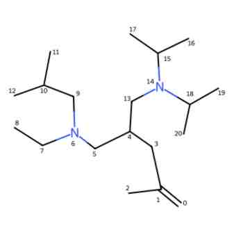 C=C(C)CC(CN(CC)CC(C)C)CN(C(C)C)C(C)C